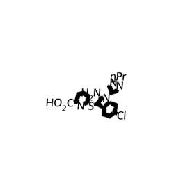 CCCn1cc(-n2c(N)c(Sc3cccc(C(=O)O)n3)c3ccc(Cl)cc32)cn1